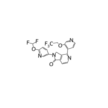 O=C1c2ccnc(-c3ccncc3OCC(F)(F)F)c2CN1c1ccc(OC(F)F)nc1